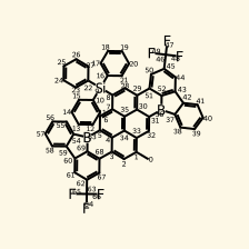 Cc1cc2c3c(cc4c([Si](c5ccccc5)(c5ccccc5)c5ccccc5)cc5c6c(cc1c3c46)B1c3ccccc3-c3cc(C(F)(F)F)cc-5c31)B1c3ccccc3-c3cc(C(F)(F)F)cc-2c31